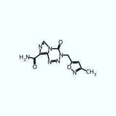 Cc1cc(Cn2nnc3c(C(N)=O)ncn3c2=O)on1